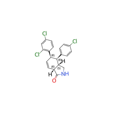 O=C1NC[C@H]2[C@H](c3ccc(Cl)cc3)[C@H](c3ccc(Cl)cc3Cl)C=C[C@@H]12